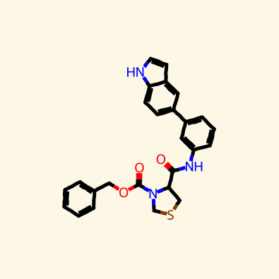 O=C(Nc1cccc(-c2ccc3[nH]ccc3c2)c1)C1CSCN1C(=O)OCc1ccccc1